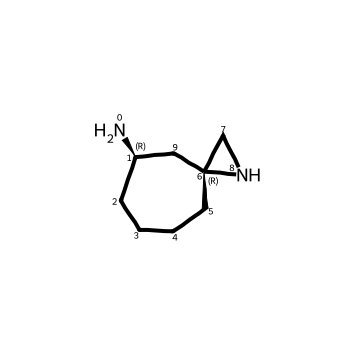 N[C@@H]1CCCC[C@]2(CN2)C1